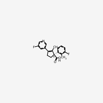 CC1=C(c2cncc(F)c2)CC[C@@]1(C(=O)O)c1cccc(F)c1C